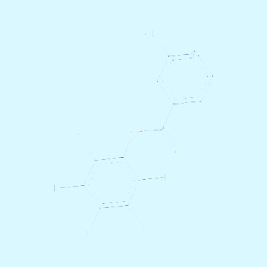 O=C(Oc1c(F)c(F)c(F)c(F)c1F)c1ccnc(Cl)c1